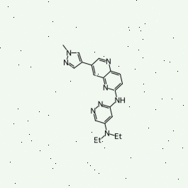 CCN(CC)c1cnnc(Nc2ccc3ncc(-c4cnn(C)c4)cc3n2)c1